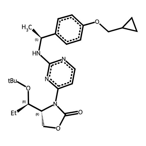 CC[C@@H](OC(C)(C)C)[C@H]1COC(=O)N1c1ccnc(N[C@@H](C)c2ccc(OCC3CC3)cc2)n1